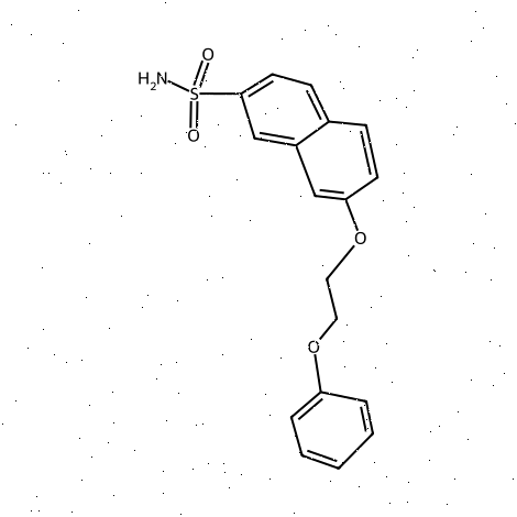 NS(=O)(=O)c1ccc2ccc(OCCOc3ccccc3)cc2c1